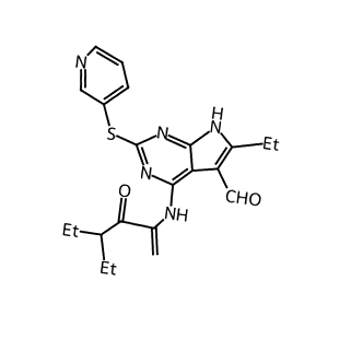 C=C(Nc1nc(Sc2cccnc2)nc2[nH]c(CC)c(C=O)c12)C(=O)C(CC)CC